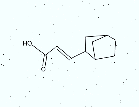 O=C(O)C=CC1CC2CCC1C2